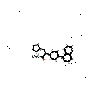 COC(=O)C(CC1CCCC1)c1ccc(-c2cccc3ccccc23)cc1